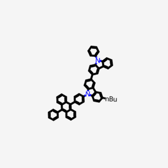 CCCCc1ccc2c(c1)c1cc(-c3ccc4c(c3)c3ccccc3n4-c3ccccc3)ccc1n2-c1ccc(-c2c3ccccc3c(-c3ccccc3)c3ccccc23)cc1